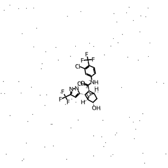 Cn1nc(C(F)(F)F)cc1[C@H]1[C@H]2O[C@H](C[C@@H]2O)[C@@H]1C(=O)Nc1ccc(C(F)(F)F)c(Cl)c1